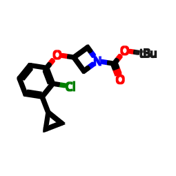 CC(C)(C)OC(=O)N1CC(Oc2cccc(C3CC3)c2Cl)C1